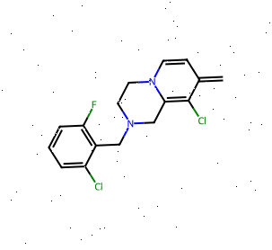 C=C1C=CN2CCN(Cc3c(F)cccc3Cl)CC2=C1Cl